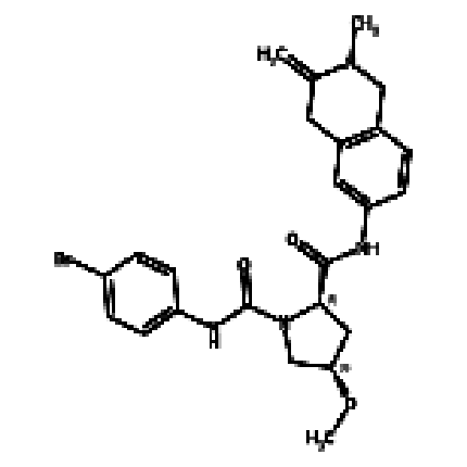 C=C1Cc2cc(NC(=O)[C@H]3C[C@@H](OC)CN3C(=O)Nc3ccc(Br)cc3)ccc2CN1C